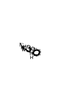 [N-]=[N+]=NCCC(NC1CCCCCCC1)C(=O)O